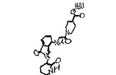 CC(C)(C)OC(=O)C1CCN(C(=O)CNc2cccc3c2CN(C2CCC(=O)NC2=O)C3=O)CC1